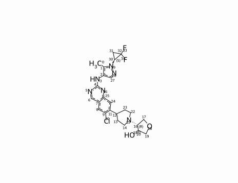 Cc1c(Nc2ncc3cc(Cl)c(C4CCN([C@@H]5COC[C@@H]5O)CC4)cc3n2)cnn1[C@H]1CC1(F)F